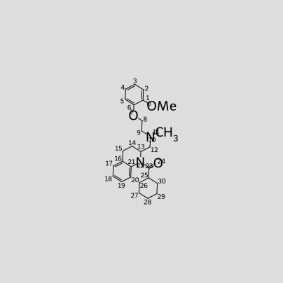 COc1ccccc1OCCN(C)CC1CCc2ccccc2N1C(=O)C1CCCCC1